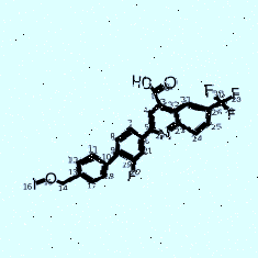 O=C(O)c1cc(-c2ccc(-c3ccc(COI)cc3)c(F)c2)nc2ccc(C(F)(F)F)cc12